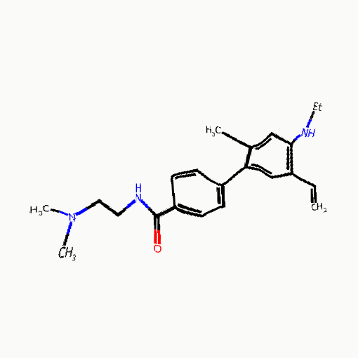 C=Cc1cc(-c2ccc(C(=O)NCCN(C)C)cc2)c(C)cc1NCC